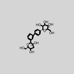 OCC1O[C@H](c2ccc(-c3cccc(C4O[C@H](CO)C(O)C[C@@H]4O)c3)cc2)C(O)C(O)[C@@H]1O